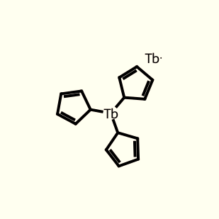 C1=C[CH]([Tb]([CH]2C=CC=C2)[CH]2C=CC=C2)C=C1.[Tb]